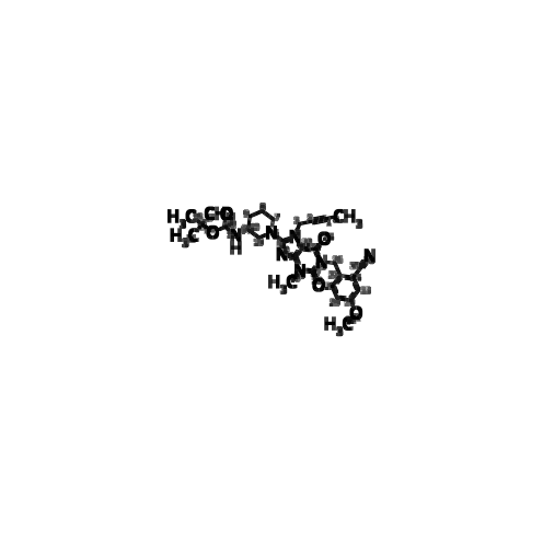 CC#CCn1c(N2CCC[C@@H](NC(=O)OC(C)(C)C)C2)nc2c1c(=O)n(Cc1ccc(OC)cc1C#N)c(=O)n2C